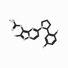 NC(=O)Oc1c(F)nn2ccc(N3CCCC3c3cc(F)ccc3F)nc12